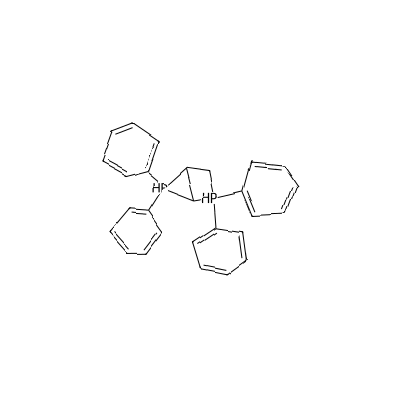 c1ccc([PH]2(c3ccccc3)CC3C2[PH]3(c2ccccc2)c2ccccc2)cc1